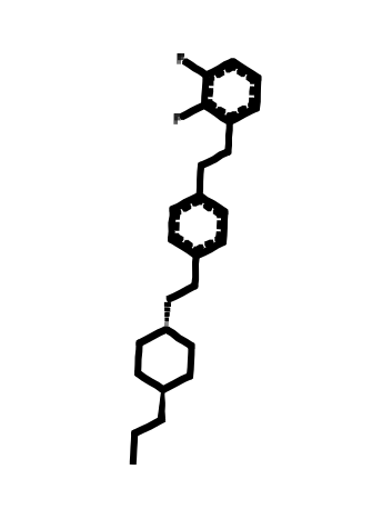 CCC[C@H]1CC[C@H](CCc2ccc(CCc3cccc(F)c3F)cc2)CC1